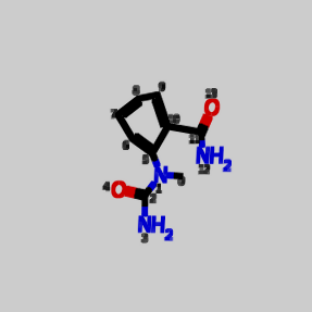 CN(C(N)=O)c1ccccc1C(N)=O